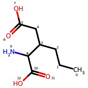 CCCC(CC(=O)O)C(N)C(=O)O